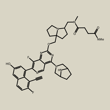 C#Cc1c(F)ccc2cc(O)cc(-c3ncc4c(N5CC6CCC(C5)N6)nc(OCC56CCCN5C(CN(C)C(=O)CCC(=O)NC)CC6)nc4c3F)c12